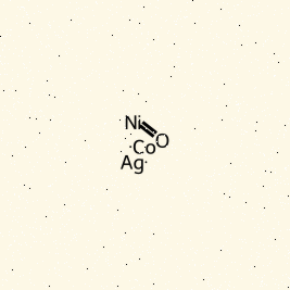 [Ag].[Co].[O]=[Ni]